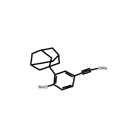 COC#Cc1ccc(OC)c(C23CC4CC(CC(C4)C2)C3)c1